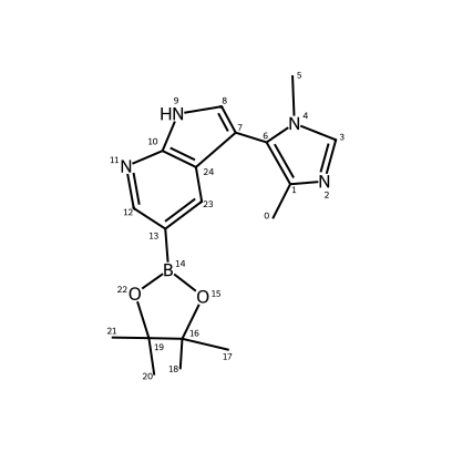 Cc1ncn(C)c1-c1c[nH]c2ncc(B3OC(C)(C)C(C)(C)O3)cc12